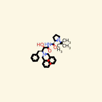 CC(C)(C)N1CCC[C@H]1C(=O)NC(=O)C(O)[C@H](Cc1ccccc1)N(Cc1ccccc1)Cc1ccccc1